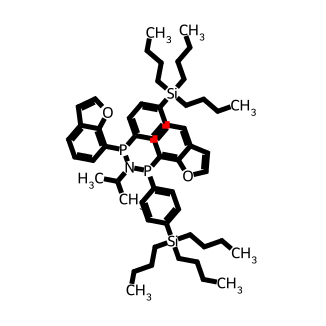 CCCC[Si](CCCC)(CCCC)c1ccc(P(c2cccc3ccoc23)N(C(C)C)P(c2ccc([Si](CCCC)(CCCC)CCCC)cc2)c2cccc3ccoc23)cc1